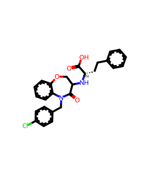 O=C(O)[C@H](CCc1ccccc1)NC1COc2ccccc2N(Cc2ccc(Cl)cc2)C1=O